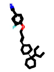 CCC(CC)C1([C@H]2CC[C@H](/C=C/COc3ccc(C#N)cc3F)CC2)CCCCC1